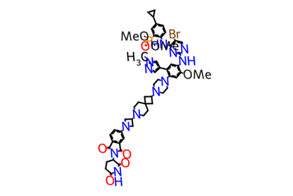 COc1cc(N2CCN(C3CC4(CCN(C5CN(c6ccc7c(c6)C(=O)N(C6CCC(=O)NC6=O)C7=O)C5)CC4)C3)CC2)c(-c2cnn(C)c2)cc1Nc1ncc(Br)c(Nc2ccc(C3CC3)cc2P(=O)(OC)OC)n1